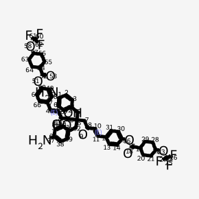 Nc1ccc(CC(CC(=O)/C=C/c2ccc(OC(=O)C3CCC(OC(F)(F)F)CC3)cc2)(Cc2ccc(N)cc2)C(O)(O)C(=O)/C=C/c2ccc(OC(=O)C3CCC(OC(F)(F)F)CC3)cc2)cc1